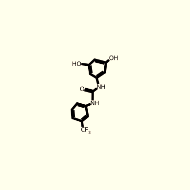 O=C(Nc1cc(O)cc(O)c1)Nc1cccc(C(F)(F)F)c1